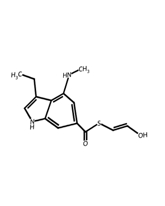 CCc1c[nH]c2cc(C(=O)S/C=C/O)cc(NC)c12